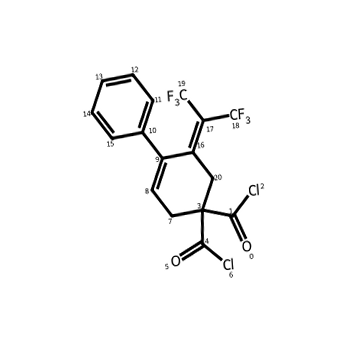 O=C(Cl)C1(C(=O)Cl)CC=C(c2ccccc2)C(=C(C(F)(F)F)C(F)(F)F)C1